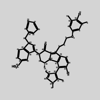 Cc1cc(OCCCc2c3n(c4c(-c5c(C)nn(C)c5C)c(Cl)ccc24)[C@H](C)CN(c2cn(Cc4cccnc4)c4ccc(C(=O)O)cc24)C3=O)cc(C)c1Cl